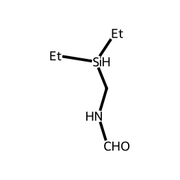 CC[SiH](CC)CNC=O